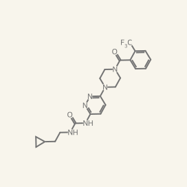 O=C(NCCC1CC1)Nc1ccc(N2CCN(C(=O)c3ccccc3C(F)(F)F)CC2)nn1